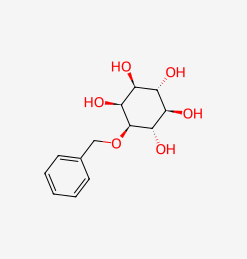 O[C@@H]1[C@@H](O)[C@H](O)[C@@H](OCc2ccccc2)[C@@H](O)[C@H]1O